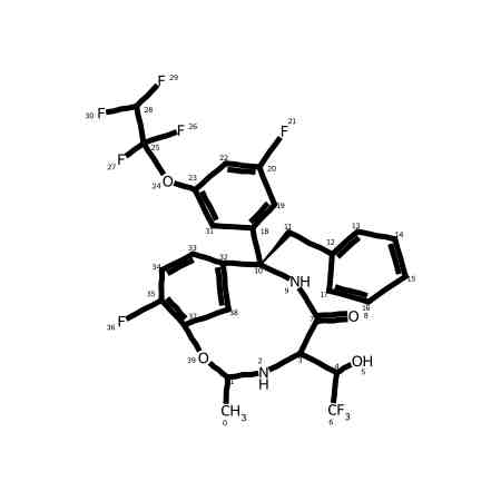 CC1NC(C(O)C(F)(F)F)C(=O)N[C@@](Cc2ccccc2)(c2cc(F)cc(OC(F)(F)C(F)F)c2)c2ccc(F)c(c2)O1